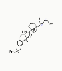 C=C/C=C\C=C(/C=C)CC12BC(C(=O)NC3CCc4ccc(CC(C)(C)CC(C)C)cc4N(C)C3=O)(CCC1)CCC2